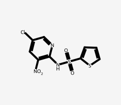 O=[N+]([O-])c1cc(Cl)cnc1NS(=O)(=O)c1cccs1